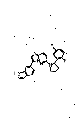 Fc1ccc(F)c(C2CCCN2c2ccc3ncc(-c4ccc5cn[nH]c5c4)n3n2)c1